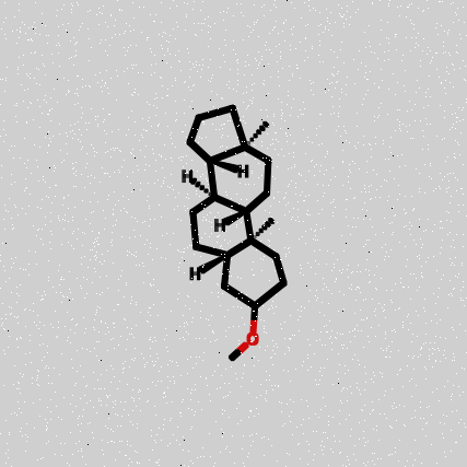 COC1CC[C@@]2(C)[C@@H](CC[C@H]3[C@@H]4CCC[C@@]4(C)CC[C@@H]32)C1